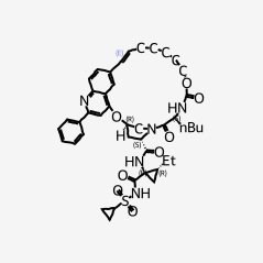 CCCC[C@@H]1NC(=O)OCCCCC/C=C/c2ccc3nc(-c4ccccc4)cc(c3c2)O[C@@H]2C[C@@H](C(=O)N[C@]3(C(=O)NS(=O)(=O)C4CC4)C[C@H]3CC)N(C2)C1=O